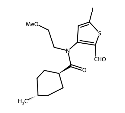 COCCN(c1cc(I)sc1C=O)C(=O)[C@H]1CC[C@H](C)CC1